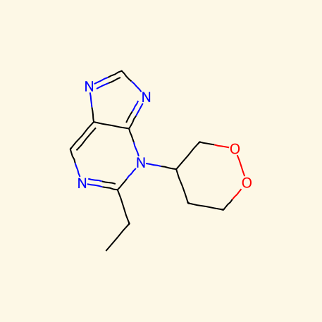 CCc1ncc2ncnc-2n1C1CCOOC1